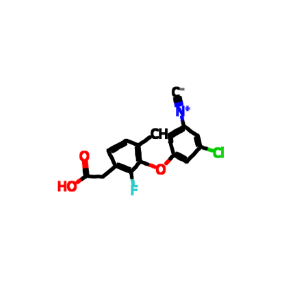 [C-]#[N+]c1cc(Cl)cc(Oc2c(C)ccc(CC(=O)O)c2F)c1